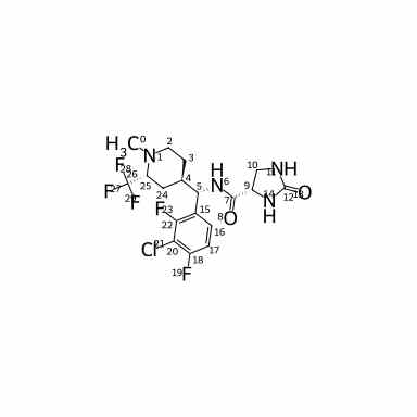 CN1CC[C@@H]([C@H](NC(=O)[C@@H]2CNC(=O)N2)c2ccc(F)c(Cl)c2F)C[C@@H]1C(F)(F)F